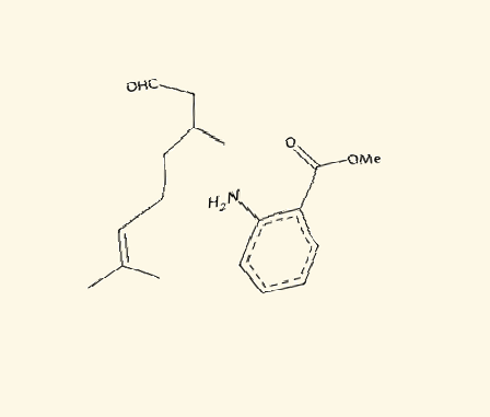 CC(C)=CCCC(C)CC=O.COC(=O)c1ccccc1N